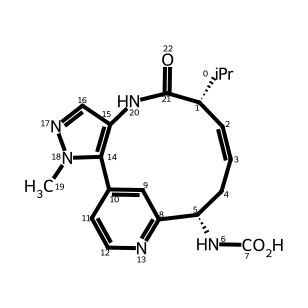 CC(C)[C@@H]1C=CC[C@H](NC(=O)O)c2cc(ccn2)-c2c(cnn2C)NC1=O